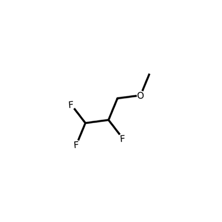 COCC(F)C(F)F